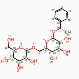 N#C[C@H](O[C@@H]1O[C@H](CO[C@@H]2O[C@H](CO)[C@@H](O)[C@H](O)[C@@H]2O)[C@@H](O)[C@H](O)[C@H]1O)c1ccccc1